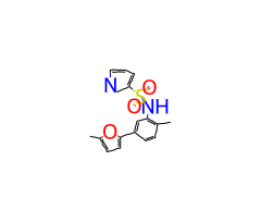 Cc1ccc(-c2ccc(C)c(NS(=O)(=O)c3cccnc3)c2)o1